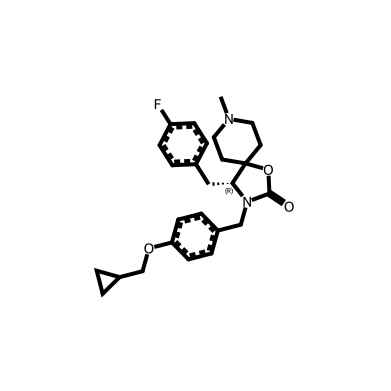 CN1CCC2(CC1)OC(=O)N(Cc1ccc(OCC3CC3)cc1)[C@@H]2Cc1ccc(F)cc1